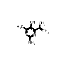 C=C(C)c1nc(N)nc(C)c1C#N